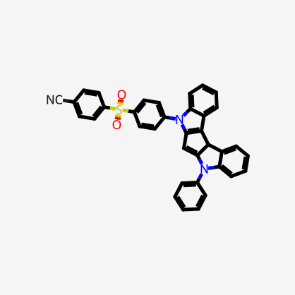 N#Cc1ccc(S(=O)(=O)c2ccc(-n3c4c(c5ccccc53)C3C(=C4)N(c4ccccc4)c4ccccc43)cc2)cc1